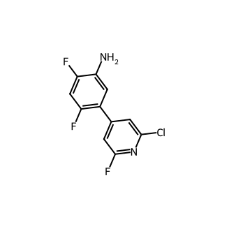 Nc1cc(-c2cc(F)nc(Cl)c2)c(F)cc1F